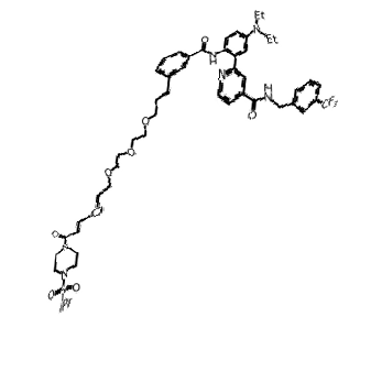 CCN(CC)c1ccc(NC(=O)c2cccc(CCCOCCOCCOCCOCCC(=O)N3CCN(S(=O)(=O)C(C)C)CC3)c2)c(-c2cc(C(=O)NCc3cccc(C(F)(F)F)c3)ccn2)c1